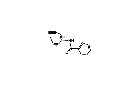 C#C/C=C(\C=C/C)NC(=O)c1ccccc1